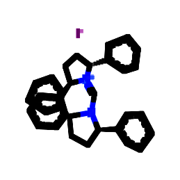 C(N1[C@@H](c2ccccc2)CC[C@@H]1c1ccccc1)=[N+]1[C@@H](c2ccccc2)CC[C@@H]1c1ccccc1.[I-]